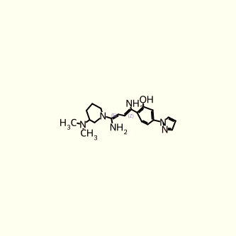 CN(C)C1CCCN(/C(N)=C/C=C(\N)c2ccc(-n3cccn3)cc2O)C1